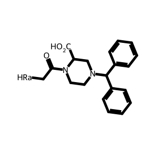 O=C(O)C1CN(C(c2ccccc2)c2ccccc2)CCN1C(=O)[CH2][RaH]